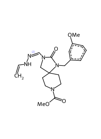 C=CN/N=C\N1CC2(CCN(C(=O)OC)CC2)N(Cc2cccc(OC)c2)C1=O